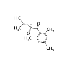 CC(C)=C[PH](=O)C(=O)c1c(C)cc(C)cc1C